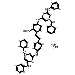 O=S(=O)(O)c1cc(NC2=CN(Nc3ccccc3)C=C(Nc3ccccc3)S2)ccc1C=Cc1ccc(NC2=CN(Nc3ccccc3)C=C(Nc3ccccc3)S2)cc1.[NaH].[NaH]